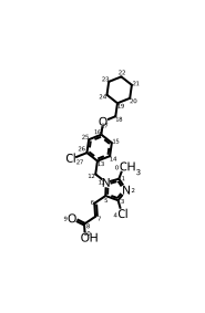 Cc1nc(Cl)c(/C=C/C(=O)O)n1Cc1ccc(OCC2CCCCC2)cc1Cl